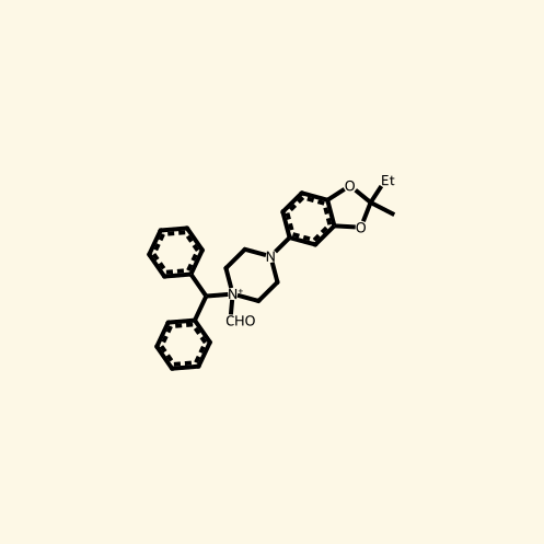 CCC1(C)Oc2ccc(N3CC[N+](C=O)(C(c4ccccc4)c4ccccc4)CC3)cc2O1